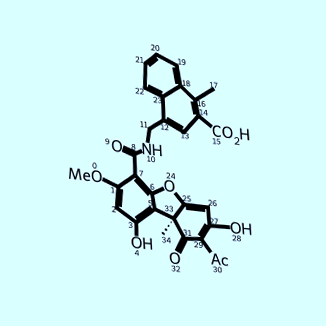 COc1cc(O)c2c(c1C(=O)NCc1cc(C(=O)O)c(C)c3ccccc13)OC1=CC(O)=C(C(C)=O)C(=O)[C@]12C